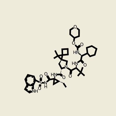 CC[C@@H]1C[C@]1(NC(=O)[C@@H]1C[C@@]2(CN1C(=O)[C@@H](NC(=O)[C@@H](NC(=O)OC1CCOCC1)C1CCCCC1)C(C)(C)C)C(C)(C)C21CCC1)C(=O)NS(=O)(=O)c1cccc2cc[nH]c12